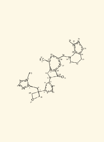 Cn1cnnc1CC1(c2cccc(N3Cc4c(cc(CN5CCCc6cnn(C)c65)cc4C(F)(F)F)C3=O)c2)COC1